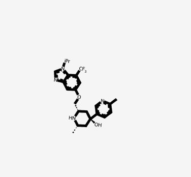 Cc1ccc([C@@]2(O)C[C@@H](COc3cc(C(F)(F)F)c4c(c3)ncn4C(C)C)N[C@@H](C)C2)cn1